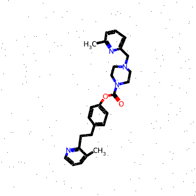 Cc1cccc(CN2CCN(C(=O)Oc3ccc(CCc4ncccc4C)cc3)CC2)n1